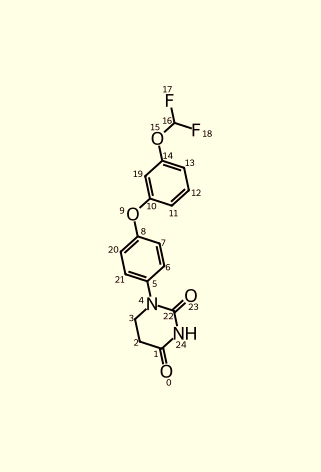 O=C1CCN(c2ccc(Oc3cccc(OC(F)F)c3)cc2)C(=O)N1